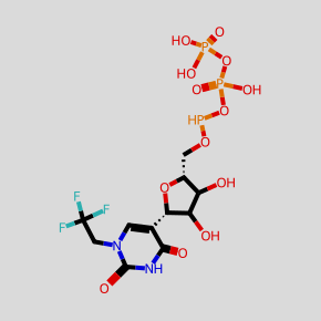 O=c1[nH]c(=O)n(CC(F)(F)F)cc1[C@@H]1O[C@H](COPOP(=O)(O)OP(=O)(O)O)C(O)C1O